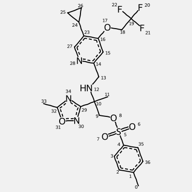 Cc1ccc(S(=O)(=O)OCC(C)(NCc2cc(OCC(F)(F)F)c(C3CC3)cn2)c2noc(C)n2)cc1